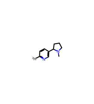 [2H]c1ccc(C2CCCN2C)cn1